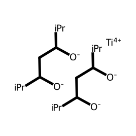 CC(C)C([O-])CC([O-])C(C)C.CC(C)C([O-])CC([O-])C(C)C.[Ti+4]